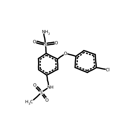 CS(=O)(=O)Nc1ccc(S(N)(=O)=O)c(Oc2ccc(Cl)cc2)c1